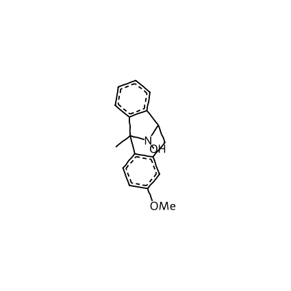 COc1ccc2c(c1)CC1c3ccccc3C2(C)N1O